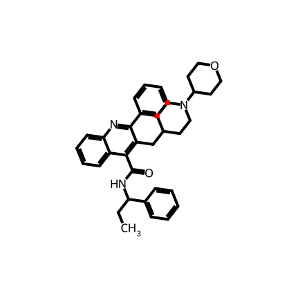 CCC(NC(=O)c1c(CC2CCN(C3CCOCC3)CC2)c(-c2ccccc2)nc2ccccc12)c1ccccc1